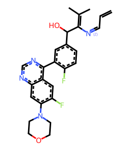 C=C/C=N\C(=C(C)C)C(O)c1ccc(F)c(-c2ncnc3cc(N4CCOCC4)c(F)cc23)c1